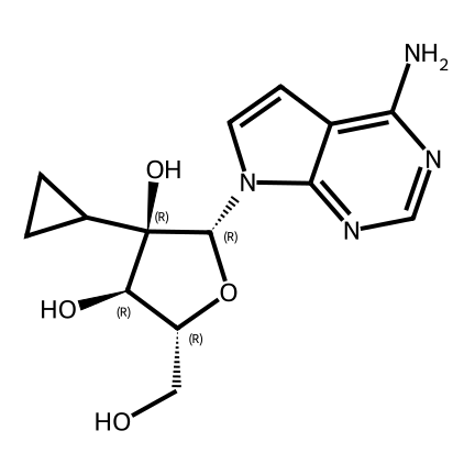 Nc1ncnc2c1ccn2[C@@H]1O[C@H](CO)[C@@H](O)[C@]1(O)C1CC1